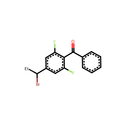 CCC(Br)c1cc(F)c(C(=O)c2ccccc2)c(F)c1